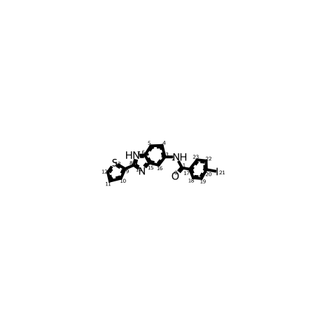 O=C(Nc1ccc2[nH]c(-c3cccs3)nc2c1)c1ccc(I)cc1